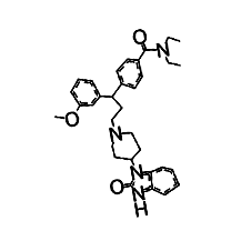 CCN(CC)C(=O)c1ccc(C(CCN2CCC(n3c(=O)[nH]c4ccccc43)CC2)c2cccc(OC)c2)cc1